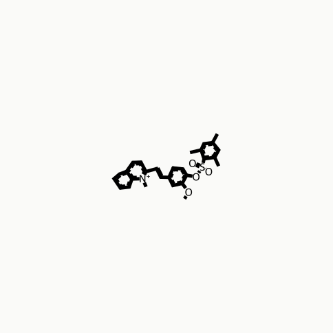 COc1cc(C=Cc2ccc3ccccc3[n+]2C)ccc1OS(=O)(=O)c1c(C)cc(C)cc1C